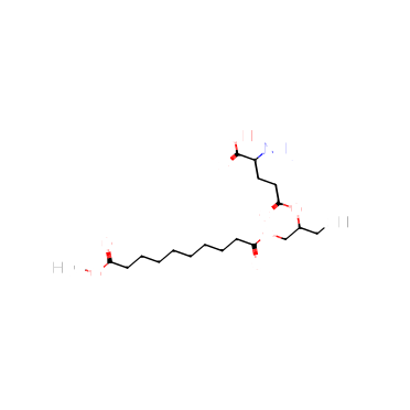 CCC(COC(=O)CCCCCCCCC(=O)OC)OC(=O)CCC(N)C(=O)O